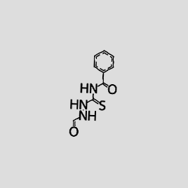 O=CNNC(=S)NC(=O)c1ccccc1